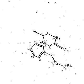 C[C@H]1CNC(=O)CN1.O=COCc1ccccc1